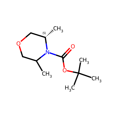 CC1COC[C@H](C)N1C(=O)OC(C)(C)C